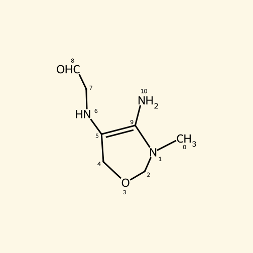 CN1COCC(NCC=O)=C1N